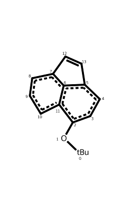 CC(C)(C)Oc1ccc2c3c(cccc13)C=C2